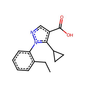 CCc1ccccc1-n1ncc(C(=O)O)c1C1CC1